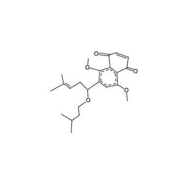 COc1cc(C(CC=C(C)C)OCCC(C)C)c(OC)c2c1C(=O)C=CC2=O